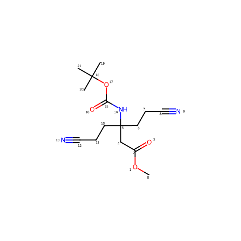 COC(=O)CC(CCC#N)(CCC#N)NC(=O)OC(C)(C)C